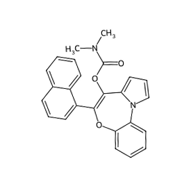 CN(C)C(=O)OC1=C(c2cccc3ccccc23)Oc2ccccc2-n2cccc21